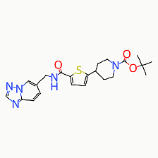 CC(C)(C)OC(=O)N1CCC(c2ccc(C(=O)NCc3ccc4ncnn4c3)s2)CC1